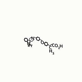 CC(CC(=O)O)c1ccc(OCc2ccc(CN3CCC4(CC3)CN(C(C)C)c3ccccc34)cc2)cc1